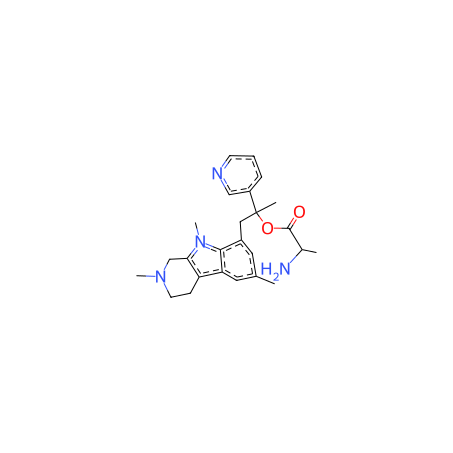 Cc1cc(CC(C)(OC(=O)C(C)N)c2cccnc2)c2c(c1)c1c(n2C)CN(C)CC1